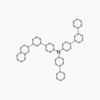 c1ccc(-c2ccc(N(c3ccc(-c4cccc(-c5ccccc5)c4)cc3)c3ccc(-c4cccc(-c5ccc6ccccc6c5)c4)cc3)cc2)cc1